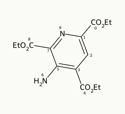 CCOC(=O)c1cc(C(=O)OCC)c(N)c(C(=O)OCC)n1